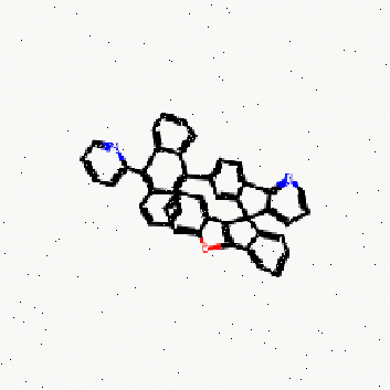 c1ccc(-c2c3ccccc3c(-c3ccc4c(c3)C3(c5ccccc5-c5oc6ccccc6c53)c3cccnc3-4)c3ccccc23)nc1